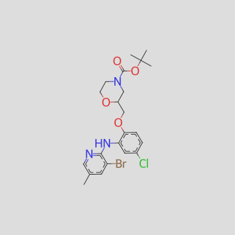 Cc1cnc(Nc2cc(Cl)ccc2OCC2CN(C(=O)OC(C)(C)C)CCO2)c(Br)c1